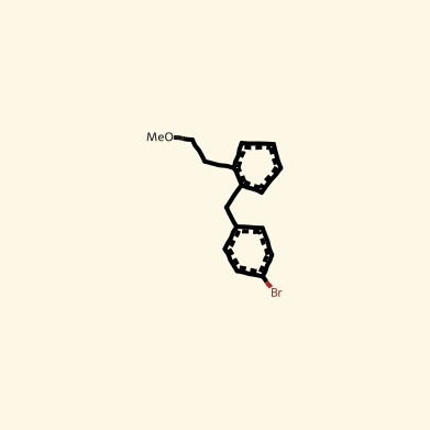 COCCc1ccccc1Cc1ccc(Br)cc1